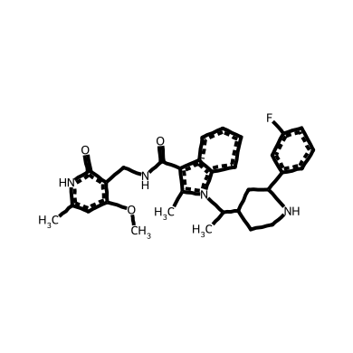 COc1cc(C)[nH]c(=O)c1CNC(=O)c1c(C)n(C(C)C2CCNC(c3cccc(F)c3)C2)c2ccccc12